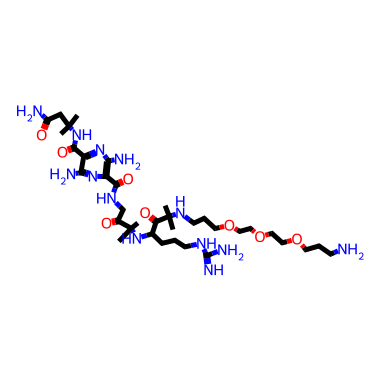 CC(C)(CC(N)=O)NC(=O)c1nc(N)c(C(=O)NCC(=O)C(C)(C)NC(CCCNC(=N)N)C(=O)C(C)(C)NCCCOCCOCCOCCCN)nc1N